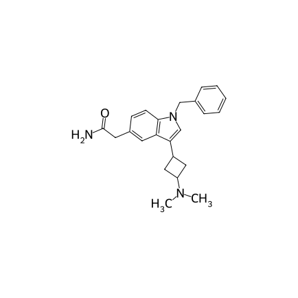 CN(C)C1CC(c2cn(Cc3ccccc3)c3ccc(CC(N)=O)cc23)C1